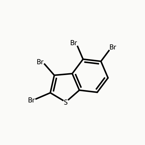 Brc1ccc2sc(Br)c(Br)c2c1Br